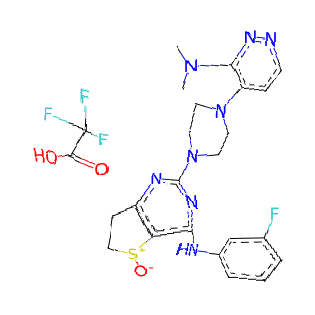 CN(C)c1nnccc1N1CCN(c2nc3c(c(Nc4cccc(F)c4)n2)[S+]([O-])CC3)CC1.O=C(O)C(F)(F)F